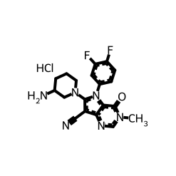 Cl.Cn1cnc2c(C#N)c(N3CCCC(N)C3)n(-c3ccc(F)c(F)c3)c2c1=O